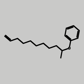 C=CCCCCCCCC(C)Oc1ccccc1